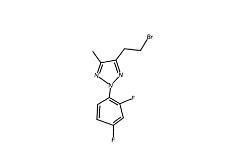 Cc1nn(-c2ccc(F)cc2F)nc1CCBr